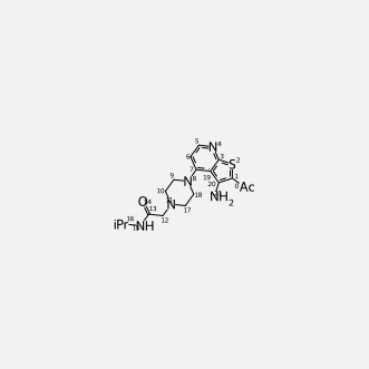 CC(=O)c1sc2nccc(N3CCN(CC(=O)NC(C)C)CC3)c2c1N